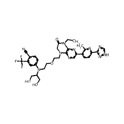 CCN1C(=O)CN(CCOCCN(c2ccc(C#N)c(C(F)(F)F)c2)C(CO)CO)c2ncc(-c3ccc(-c4nc[nH]n4)nc3C)nc21